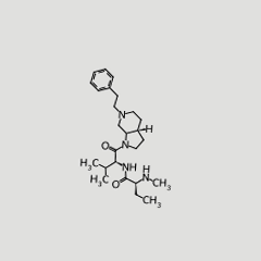 CC[C@H](NC)C(=O)N[C@H](C(=O)N1CC[C@H]2CCN(CCc3ccccc3)CC21)C(C)C